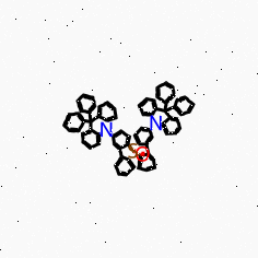 O=S12(c3ccccc3-c3cc(N4c5ccccc5C(c5ccccc5)(c5ccccc5)c5ccccc54)ccc31)c1ccccc1-c1cc(N3c4ccccc4C(c4ccccc4)(c4ccccc4)c4ccccc43)ccc12